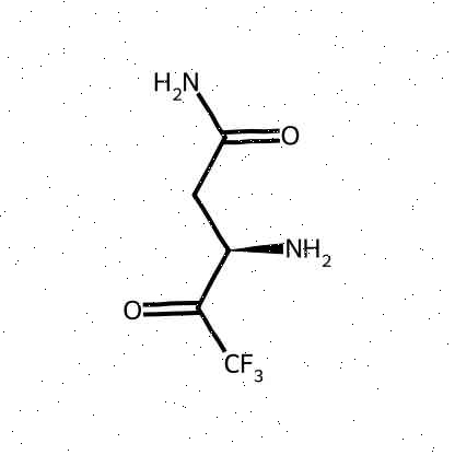 NC(=O)C[C@@H](N)C(=O)C(F)(F)F